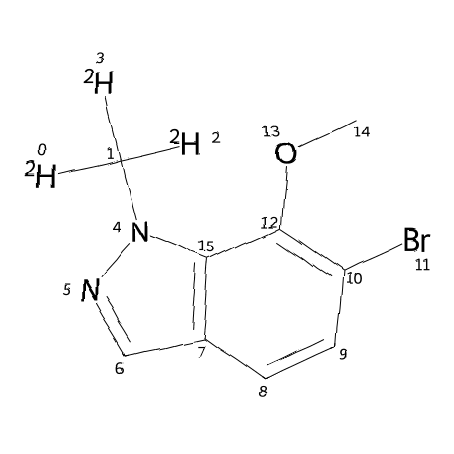 [2H]C([2H])([2H])n1ncc2ccc(Br)c(OC)c21